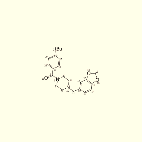 CC(C)(C)c1ccc(C(=O)N2CCN(Cc3ccc4c(c3)OCO4)CC2)cc1